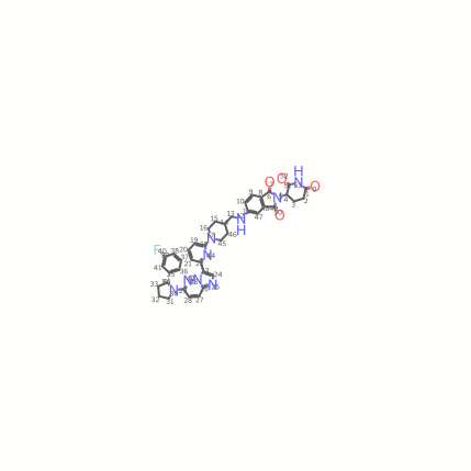 O=C1CCC(N2C(=O)c3ccc(NCC4CCN(c5cccc(-c6cnc7ccc(N8CCC[C@@H]8c8cccc(F)c8)nn67)n5)CC4)cc3C2=O)C(=O)N1